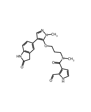 CN(CCCOc1c(-c2ccc3c(c2)CC(=O)N3)cnn1C)C(=O)c1cc[nH]c1C=O